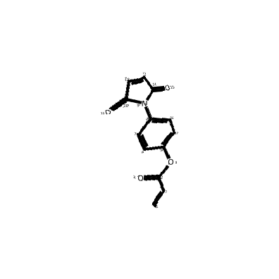 C=CC(=O)Oc1ccc(N2C(=O)C=CC2=O)cc1